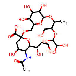 CC(=O)NC1C(O)CC(OCC2OC(OC(C)C(CO)OC(O)C(O)O)C(O)C(O)C2O)(C(=O)O)OC1[C@H](O)CCO